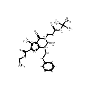 CCOC(=O)c1sc2c(c1C)C(=O)N(CCC(=O)OC(C)(C)C)C(O)N2CCc1ccccc1